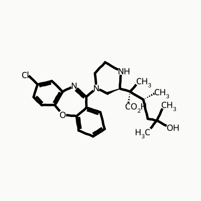 C[C@H](CC(C)(C)O)[C@@](C)(C(=O)O)[C@H]1CN(C2=Nc3cc(Cl)ccc3Oc3ccccc32)CCN1